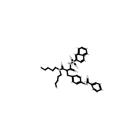 CCCCCN(CCCCC)C(=O)C(Cc1ccc(NC(=O)c2ccccc2)cc1)C(=O)NS(=O)(=O)c1ccc2ccccc2c1